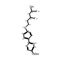 CCCCCCCCCCc1cnc(-c2ccc(OCCC(F)CC(F)CCC)cc2)nc1